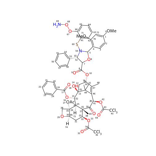 COc1ccc(C2OC(C(=O)O[C@H]3C[C@@]4(O)[C@@H](OC(=O)c5ccccc5)[C@@H]5[C@]6(OC(C)=O)CO[C@@H]6C[C@H](OC(=O)C(Cl)(Cl)Cl)[C@@]5(C)C(=O)[C@H](OC(=O)C(Cl)(Cl)Cl)C(=C3C)C4(C)C)[C@H](c3ccccc3)N2Sc2ccccc2OON)c(OC)c1